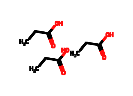 CCC(=O)O.CCC(=O)O.CCC(=O)O